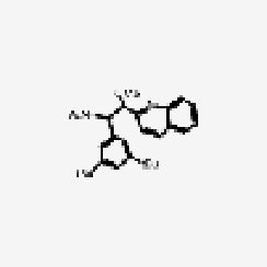 COC(c1ccc2ccccc2n1)C(NC(C)=O)c1cc(C(C)(C)C)cc(C(C)(C)C)c1